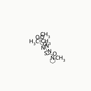 COC(=O)C(C)(C)Cc1nc(-c2nc(C(=O)N3CCCCC3C)cs2)no1